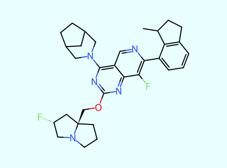 CC1CCc2cccc(-c3ncc4c(N5CC6CCC(C6)C5)nc(OC[C@@]56CCCN5C[C@H](F)C6)nc4c3F)c21